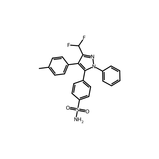 Cc1ccc(-c2c(C(F)F)nn(-c3ccccc3)c2-c2ccc(S(N)(=O)=O)cc2)cc1